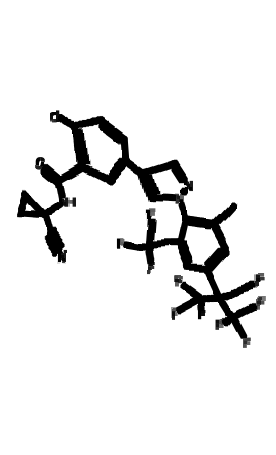 Cc1cc(C(F)(C(F)(F)F)C(F)(F)F)cc(C(F)(F)F)c1-n1cc(-c2ccc(Cl)c(C(=O)NC3(C#N)CC3)c2)cn1